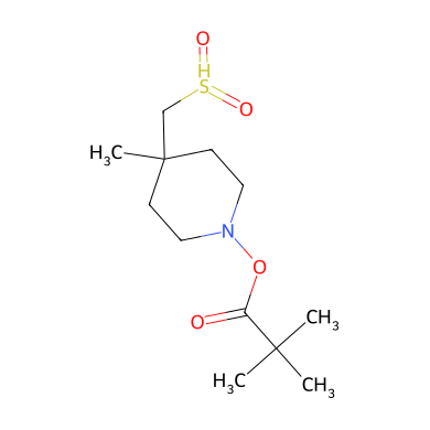 CC1(C[SH](=O)=O)CCN(OC(=O)C(C)(C)C)CC1